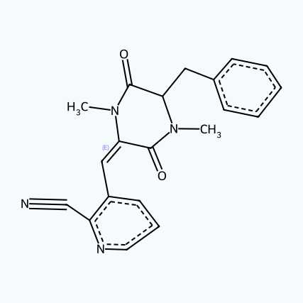 CN1C(=O)C(Cc2ccccc2)N(C)C(=O)/C1=C\c1cccnc1C#N